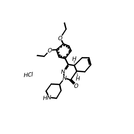 CCOc1ccc(C2=NN(C3CCNCC3)C(=O)[C@@H]3CC=CC[C@H]23)cc1OCC.Cl